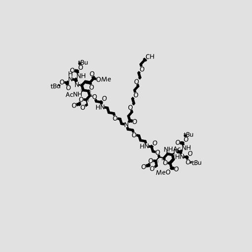 C#CCOCCOCCOCCOCCC(=O)N(CCOCCCNC(=O)COC([C@H]1COC(=O)O1)[C@@H]1OC(C(=O)OC)=C[C@H](N=C(NC(=O)OC(C)(C)C)NC(=O)OC(C)(C)C)[C@H]1NC(C)=O)CCOCCCNC(=O)CO[C@@H]([C@@H]1OC(C(=O)OC)=C[C@H](N=C(NC(=O)OC(C)(C)C)NC(=O)OC(C)(C)C)[C@H]1NC(C)=O)[C@H]1COC(=O)O1